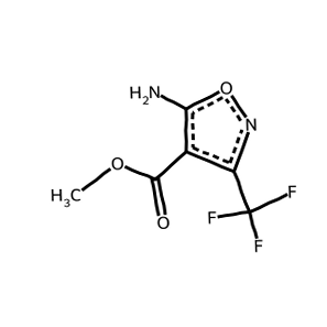 COC(=O)c1c(C(F)(F)F)noc1N